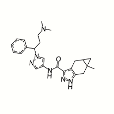 CN(C)CCC(c1ccccc1)n1cc(NC(=O)c2n[nH]c3c2CC2CC2(C)C3)cn1